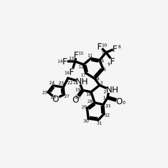 O=C1NC(c2cc(C(F)(F)F)cc(C(F)(F)F)c2)C(C(=O)NCc2ccoc2)c2ccccc21